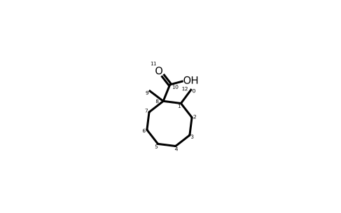 CC1CCCCCCC1(C)C(=O)O